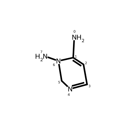 NC1=CC=NCN1N